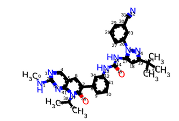 CNc1ncc2cc(-c3cccc(NC(=O)Nc4cc(C(C)(C)C)nn4-c4cccc(C#N)c4)c3)c(=O)n(C(C)C)c2n1